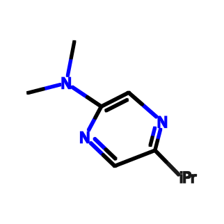 CC(C)c1cnc(N(C)C)cn1